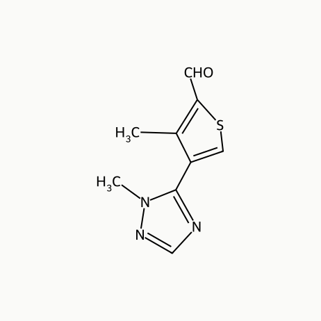 Cc1c(-c2ncnn2C)csc1C=O